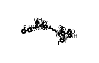 CC(C)C(C(=O)N1C[C@H](O)C[C@H]1C(=O)NOc1ccc(-c2ccccc2F)cc1)c1cc(OCCCCCNC(=O)c2cc3c(cc2CS(C)(=O)=O)-c2cn(C)c(=O)c4[nH]cc(c24)CN3c2ncc(F)cc2F)no1